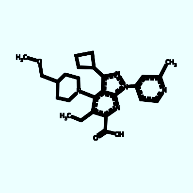 CCc1c(C(=O)O)nc2c(c(C3CCC3)nn2-c2ccnc(C)c2)c1N1CCC(COC)CC1